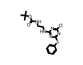 CC(C)(C)OC(=O)NCCNc1nc(Cl)nc(Sc2ccccc2)n1